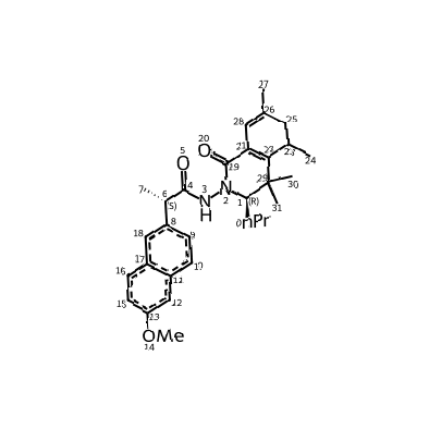 CCC[C@H]1N(NC(=O)[C@@H](C)c2ccc3cc(OC)ccc3c2)C(=O)C2=C(C(C)CC(C)=C2)C1(C)C